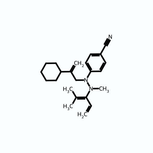 C=CC(=C(C)C)N(C)N(CC(=C)C1CCCCC1)c1ccc(C#N)cc1